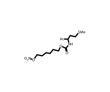 CSCCC(NC(=O)OCCCCCCO[N+](=O)[O-])C(C)=O